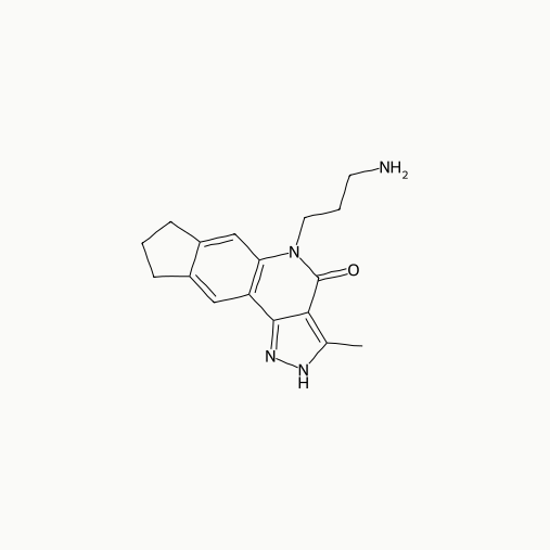 Cc1[nH]nc2c1c(=O)n(CCCN)c1cc3c(cc21)CCC3